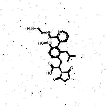 CC(C)Cc1c(CC(C(=O)O)N2C(=O)C[C@@H](C)C2=O)ccc(NO)c1-c1cccnc1C(=O)NCCN